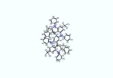 CC(C)(C)c1cc2c3c(c1)N(c1ccccc1)c1cc4c(cc1B3C1=C(N2c2ccccc2)C(C)(C)c2ccccc21)N(c1ccccc1)c1cc(C(C)(C)C)cc2c1B4C1Sc3ccccc3C1N2c1ccccc1